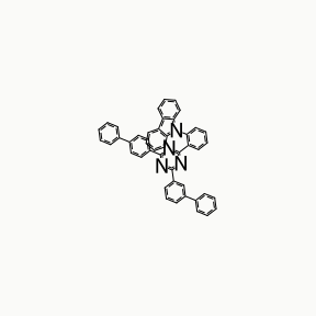 c1ccc(-c2ccc(-c3nc(-c4cccc(-c5ccccc5)c4)nc(-c4ccccc4-n4c5ccccc5c5ccccc54)n3)cc2)cc1